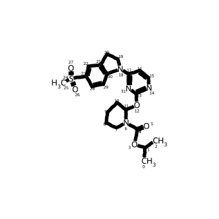 CC(C)OC(=O)N1CCCCC1Oc1nccc(N2CCc3cc(S(C)(=O)=O)ccc32)n1